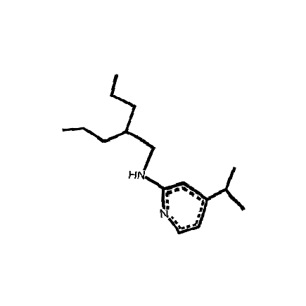 CCCC(CCC)CNc1cc(C(C)C)ccn1